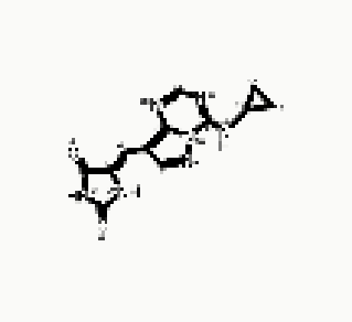 O=C1NC(=O)/C(=C/c2cnn3c(NC4CC4)ncnc23)N1